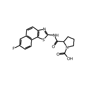 O=C(Nc1nc2ccc3cc(F)ccc3c2s1)C1CCCN1C(=O)O